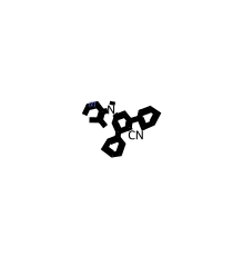 C/C=C\C(=C(C)C)N(C)c1cc(-c2ccccc2)c(C#N)c(-c2ccccc2)c1